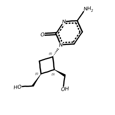 Nc1ccn([C@H]2C[C@H](CO)[C@@H]2CO)c(=O)n1